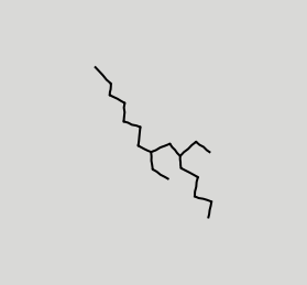 CCCCCCCC(CC)CC(CC)CCCCC